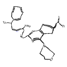 CCC(=O)C1=Cc2nc(N/C(=C/C(CC)c3ccccc3)NC)nc(N3CCOCC3)c2C1